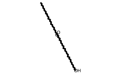 CCCCCCCCC=CCCCCCCCCCCCCCC(=O)OCCCCCCCCCCCCCCCCCCCCCCCCCCO